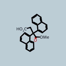 COC(=O)C(CC(=O)O)(c1cccc2ccccc12)c1cccc2ccccc12